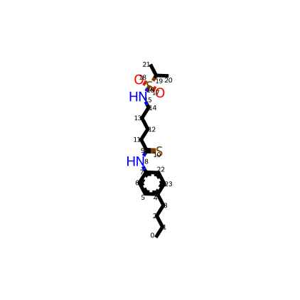 CCCCc1ccc(NC(=S)CCCCNS(=O)(=O)C(C)C)cc1